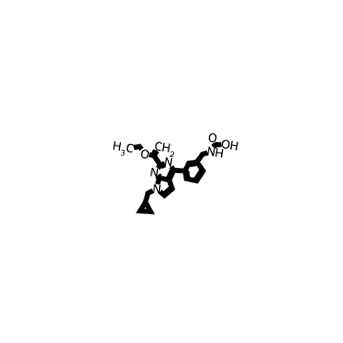 C=C(OCC)c1nc(-c2cccc(CNC(=O)O)c2)c2ccn(CC3CC3)c2n1